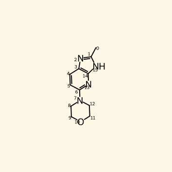 Cc1nc2ccc(N3CCOCC3)nc2[nH]1